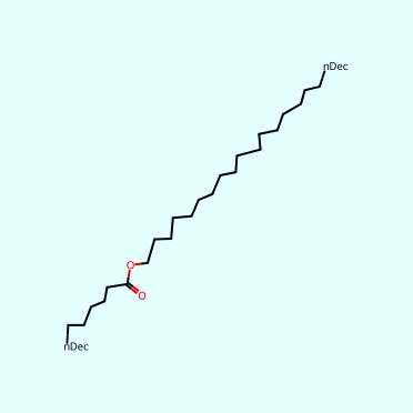 CCCCCCCCCCCCCCCCCCCCCCCCCCCOC(=O)CCCCCCCCCCCCCCC